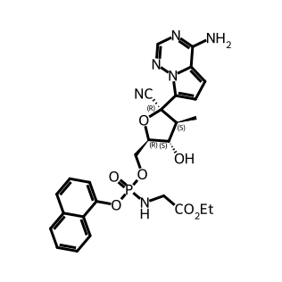 CCOC(=O)CNP(=O)(OC[C@H]1O[C@@](C#N)(c2ccc3c(N)ncnn23)[C@@H](C)[C@@H]1O)Oc1cccc2ccccc12